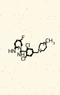 CN1CCN(Cc2cc(Cl)c(C(=N)n3cc(F)ccc3=N)c(Cl)c2)CC1